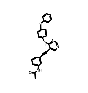 CC(=O)Nc1cccc(C#Cc2cncnc2Nc2ccc(Oc3ccccc3)cc2)c1